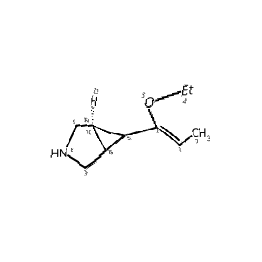 CC=C(OCC)C1C2CNC[C@H]21